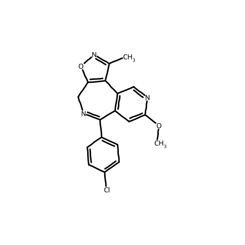 COc1cc2c(cn1)-c1c(C)noc1CN=C2c1ccc(Cl)cc1